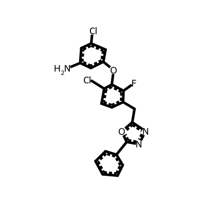 Nc1cc(Cl)cc(Oc2c(Cl)ccc(Cc3nnc(-c4ccccc4)o3)c2F)c1